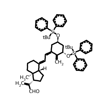 C=C1/C(=C\C=C2/CCC[C@]3(C)[C@@H](C(=C)C=O)CC[C@@H]23)C[C@@H](O[Si](c2ccccc2)(c2ccccc2)C(C)(C)C)C[C@@H]1O[Si](c1ccccc1)(c1ccccc1)C(C)(C)C